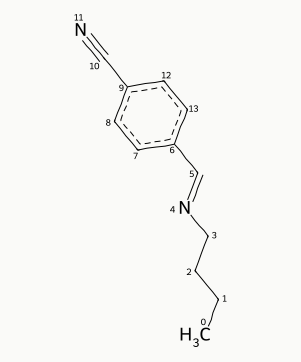 CCCCN=Cc1ccc(C#N)cc1